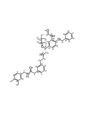 Cc1ccc(CNC(=O)Cc2cccc(CCNC[C@H](O[Si](C)(C)C(C)(C)C)c3ccc(OCc4ccccc4)c(NC=O)c3)c2)cc1C